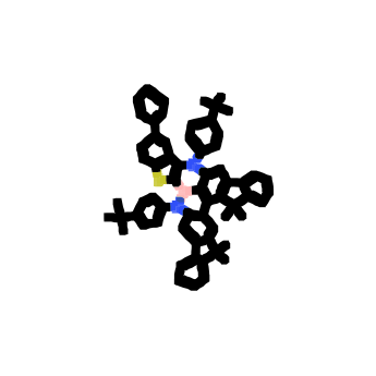 CC(C)(C)c1ccc(N2B3c4sc5ccc(-c6ccccc6)cc5c4N(c4ccc(C(C)(C)C)cc4)c4cc5c(c(c43)-c3cc4c(cc32)-c2ccccc2C4(C)C)C(C)(C)c2ccccc2-5)cc1